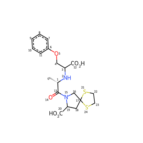 C[C@H](NC(COc1ccccc1)C(=O)O)C(=O)N1CC2(CC1C(=O)O)SCCS2